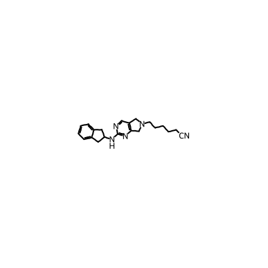 N#CCCCCCN1Cc2cnc(NC3Cc4ccccc4C3)nc2C1